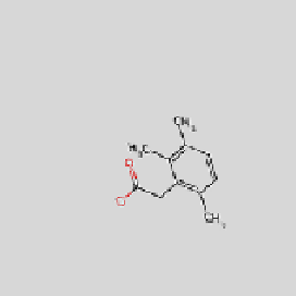 Cc1ccc(C)c(CC([O])=O)c1C